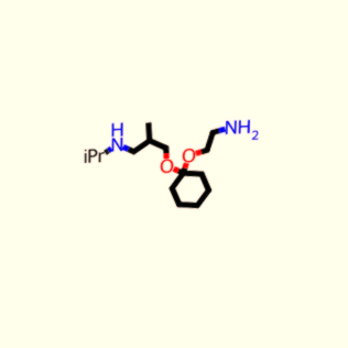 CC(CNC(C)C)COC1(OCCN)CCCCC1